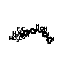 Nc1c(C(=O)O)sc2nc(N3CCC(NCC(O)c4ccc(-c5cncnc5)nc4)CC3)cc(C(F)(F)F)c12